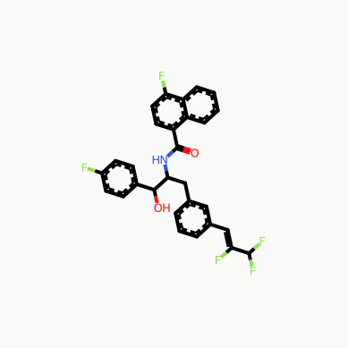 O=C(NC(Cc1cccc(C=C(F)C(F)F)c1)C(O)c1ccc(F)cc1)c1ccc(F)c2ccccc12